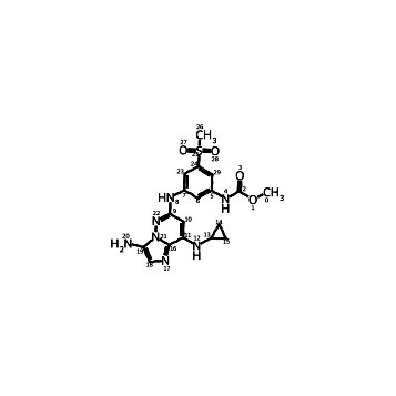 COC(=O)Nc1cc(Nc2cc(NC3CC3)c3ncc(N)n3n2)cc(S(C)(=O)=O)c1